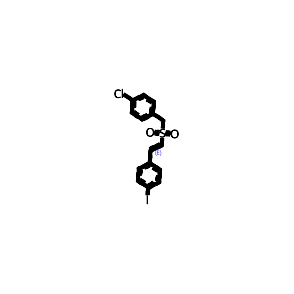 O=S(=O)(/C=C/c1ccc(I)cc1)Cc1ccc(Cl)cc1